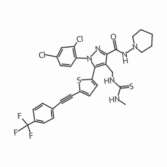 CNC(=S)NCc1c(C(=O)NN2CCCCC2)nn(-c2ccc(Cl)cc2Cl)c1-c1ccc(C#Cc2ccc(C(F)(F)F)cc2)s1